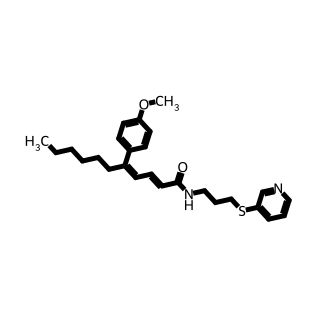 CCCCCCC(=CC=CC(=O)NCCCSc1cccnc1)c1ccc(OC)cc1